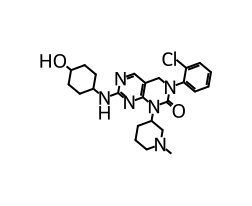 CN1CCCC(N2C(=O)N(c3ccccc3Cl)Cc3cnc(NC4CCC(O)CC4)nc32)C1